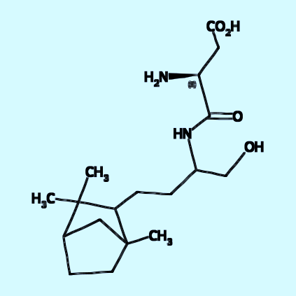 CC12CCC(C1)C(C)(C)C2CCC(CO)NC(=O)[C@@H](N)CC(=O)O